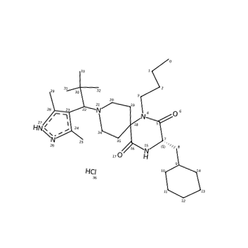 CCCCN1C(=O)[C@H](CC2CCCCC2)NC(=O)C12CCN(C(c1c(C)n[nH]c1C)C(C)(C)C)CC2.Cl